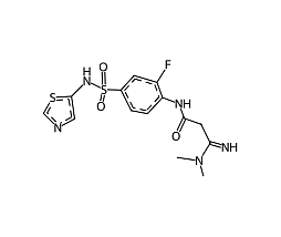 CN(C)C(=N)CC(=O)Nc1ccc(S(=O)(=O)Nc2cncs2)cc1F